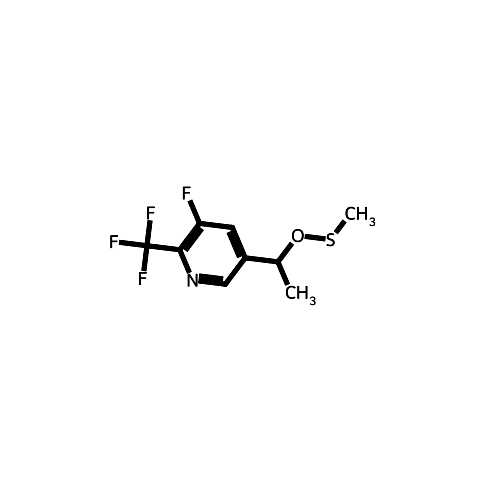 CSOC(C)c1cnc(C(F)(F)F)c(F)c1